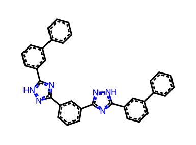 c1ccc(-c2cccc(-c3nc(-c4cccc(-c5n[nH]c(-c6cccc(-c7ccccc7)c6)n5)c4)n[nH]3)c2)cc1